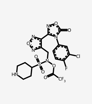 O=C(ON(Cc1nonc1-c1noc(=O)n1-c1ccc(F)c(Cl)c1)S(=O)(=O)C1CCNCC1)C(F)(F)F